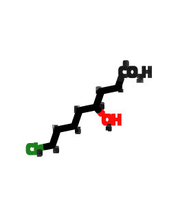 O=C(O)CCC(O)CCCCCl